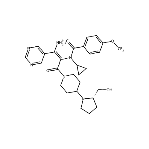 C=C(c1ccc(OC(F)(F)F)cc1)N(/C(C(=O)N1CCC(N2CCC[C@H]2CO)CC1)=C(\N)c1cncnc1)C1CC1